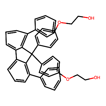 OCCOc1ccc(C2(c3ccc(OCCO)cc3)c3c(-c4ccccc4)cccc3-c3cccc(-c4ccccc4)c32)cc1